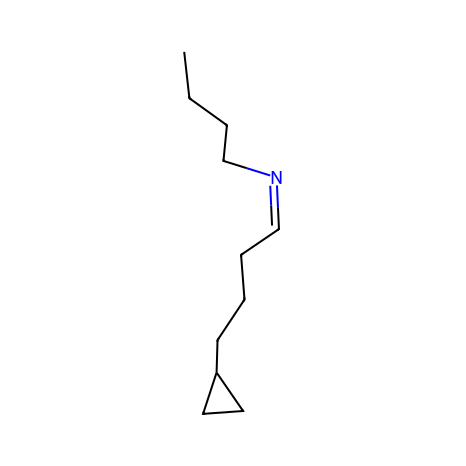 CCCC/N=C\CCCC1CC1